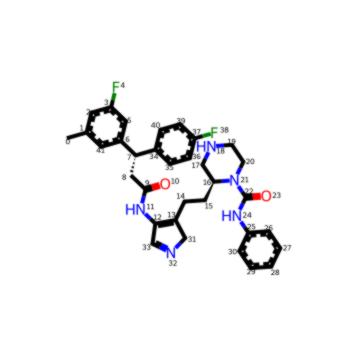 Cc1cc(F)cc([C@@H](CC(=O)NC2=C(CC[C@H]3CNCCN3C(=O)Nc3ccccc3)CN=C2)c2ccc(F)cc2)c1